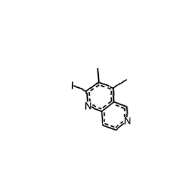 Cc1c(I)nc2ccncc2c1C